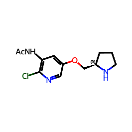 CC(=O)Nc1cc(OC[C@H]2CCCN2)cnc1Cl